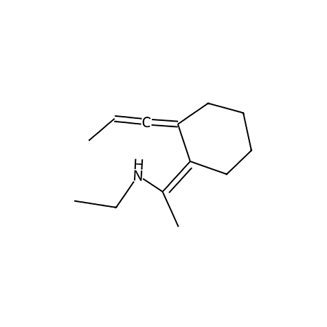 CC=C=C1CCCC/C1=C(\C)NCC